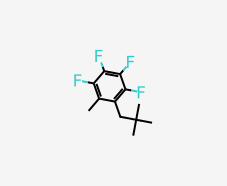 Cc1c(F)c(F)c(F)c(F)c1CC(C)(C)C